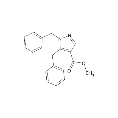 COC(=O)c1cnn(Cc2ccccc2)c1Cc1ccccc1